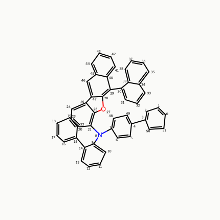 c1ccc(-c2ccc(N(c3ccccc3-c3ccccc3)c3cccc4c3oc3c(-c5cccc6ccccc56)c5ccccc5cc34)cc2)cc1